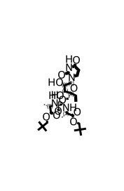 C=C[C@]1(COP(=O)(N[C@@H](C)C(=O)OCC(C)(C)C)N[C@@H](C)C(=O)OCC(C)(C)C)O[C@@H](n2ccc(=O)[nH]c2=O)[C@H](O)[C@@H]1O